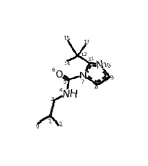 CC(C)CNC(=O)n1ccnc1C(C)(C)C